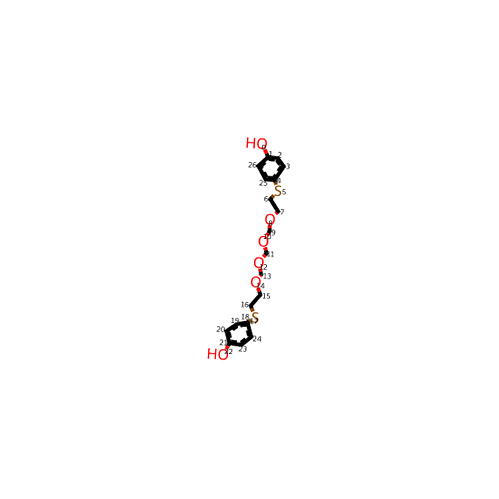 Oc1ccc(SCCOCOCOCOCCSc2ccc(O)cc2)cc1